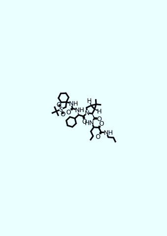 CCCNC(=O)C(=O)C(CCC)NC(=O)[C@@H]1[C@@H]2[C@H](CN1C(=O)[C@@H](NC(=O)NC1(CS(=O)(=O)C(C)(C)C)CCCCC1)C1CCCCC1)C2(C)C